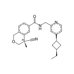 CC[C@H]1C[C@@H](c2ccnc(CNC(=O)c3ccc4c(c3)[C@](C)(C#N)COC4)c2)C1